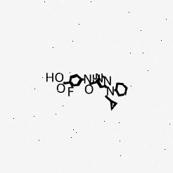 O=C(Nc1ccc(C(=O)O)c(F)c1)c1cc(N(CC2CC2)C2CCCCC2)ncn1